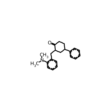 CN(C)c1ccccc1CC1CC(c2ccccc2)CCC1=O